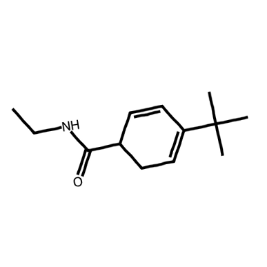 CCNC(=O)C1C=CC(C(C)(C)C)=CC1